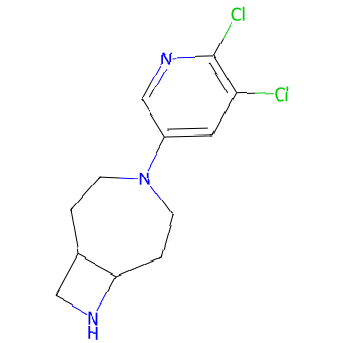 Clc1cc(N2CCC3CNC3CC2)cnc1Cl